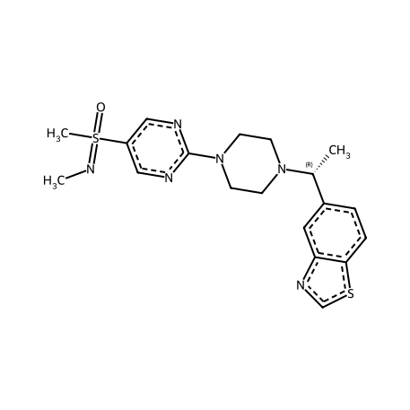 CN=S(C)(=O)c1cnc(N2CCN([C@H](C)c3ccc4scnc4c3)CC2)nc1